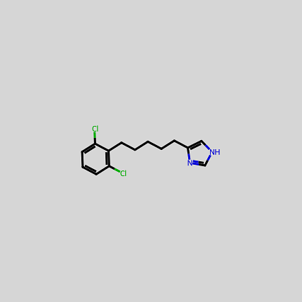 Clc1cccc(Cl)c1CCCCCc1c[nH]cn1